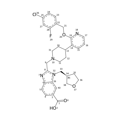 O=C(O)c1ccc2nc(CN3CCC(c4cccnc4OCc4ccc(Cl)cc4F)CC3)n(C[C@H]3CCOC3)c2c1